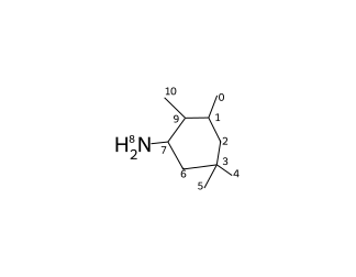 CC1CC(C)(C)CC(N)C1C